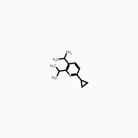 CC(C)c1ccc(C2CC2)nc1C(C)C